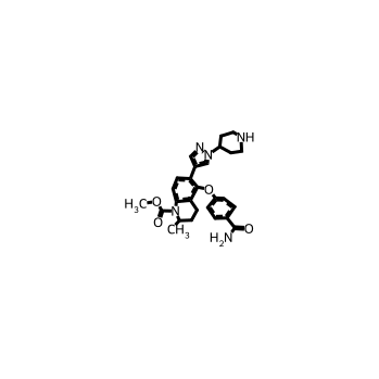 COC(=O)N1c2ccc(-c3cnn(C4CCNCC4)c3)c(Oc3ccc(C(N)=O)cc3)c2CCC1C